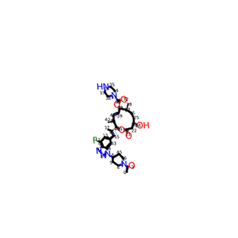 CC(=O)N1CCC(n2nnc3c(F)cc(/C=C(\C)[C@H]4OC(=O)C[C@H](O)CC[C@H](C)[C@H](OC(=O)N5CCNCC5)/C=C/[C@@H]4C)cc32)CC1